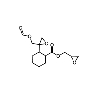 O=COCC1(C2CCCCC2C(=O)OCC2CO2)CO1